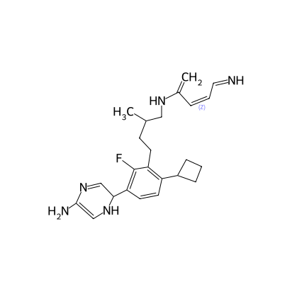 C=C(/C=C\C=N)NCC(C)CCc1c(C2CCC2)ccc(C2C=NC(N)=CN2)c1F